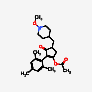 CON1CCC(CC2CC(OC(C)=O)=C(c3c(C)cc(C)cc3C)C2=O)CC1